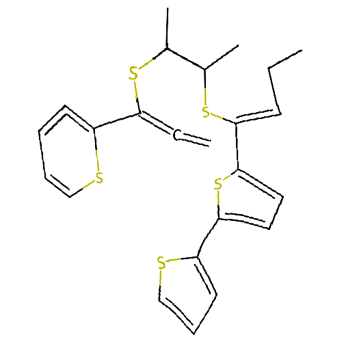 C=C=C(SC(C)C(C)S/C(=C\CC)c1ccc(-c2cccs2)s1)C1=C=CC=CS1